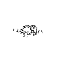 CCS(=O)(=O)NC1CC(C)N2C(=O)OCCOc3cc(OC)cc(n3)C3CCC(CC3)OCC12